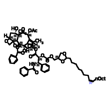 CCCCCCCC/C=C\CCCCCCCC1OC[C@H](COC(=O)O[C@@H](C(=O)O[C@H]2C[C@@]3(O)[C@@H](OC(=O)c4ccccc4)C4[C@](C)(C(=O)[C@H](OC(C)=O)C(=C2C)C3(C)C)[C@@H](O)C[C@H]2OC[C@@]42OC(C)=O)[C@@H](NC(=O)c2ccccc2)c2ccccc2)O1